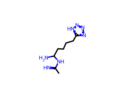 CC(=N)NC(N)CCCCc1nnn[nH]1